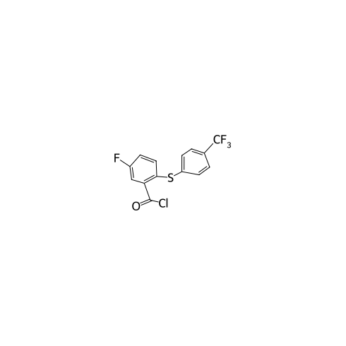 O=C(Cl)c1cc(F)ccc1Sc1ccc(C(F)(F)F)cc1